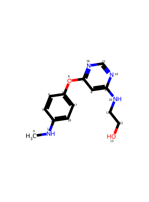 CNc1ccc(Oc2cc(NCCO)ncn2)cc1